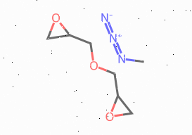 C(OCC1CO1)C1CO1.CN=[N+]=[N-]